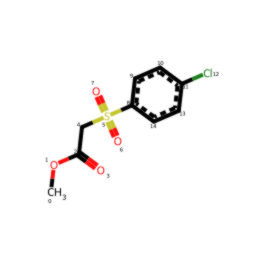 COC(=O)CS(=O)(=O)c1ccc(Cl)cc1